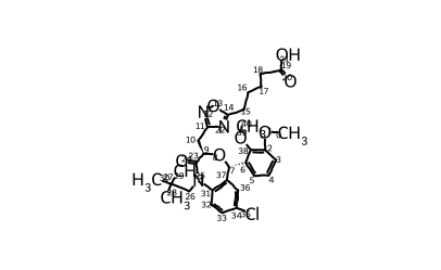 COc1cccc([C@H]2O[C@H](Cc3noc(CCCCC(=O)O)n3)C(=O)N(CC(C)(C)C)c3ccc(Cl)cc32)c1OC